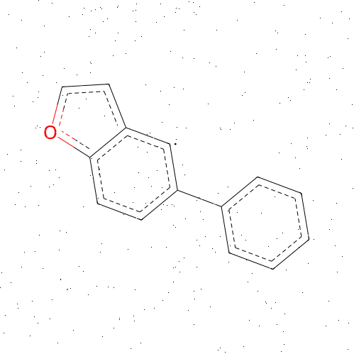 [c]1c(-c2ccccc2)ccc2occc12